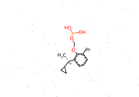 CC(C)c1cccc([C@@H](C)C2CC2)c1OCOP(O)O